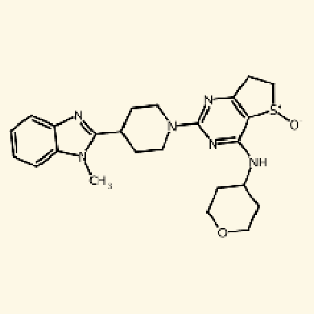 Cn1c(C2CCN(c3nc4c(c(NC5CCOCC5)n3)[S+]([O-])CC4)CC2)nc2ccccc21